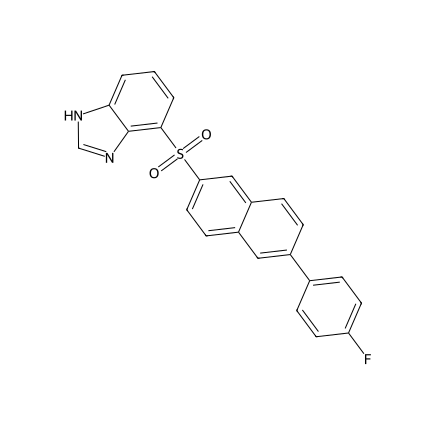 O=S(=O)(c1ccc2cc(-c3ccc(F)cc3)ccc2c1)c1cccc2[nH]cnc12